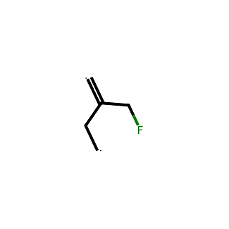 [CH]=C(C[CH2])CF